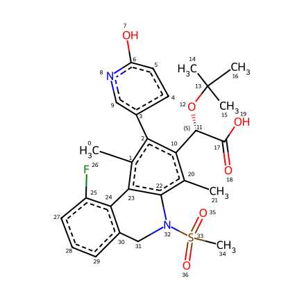 Cc1c(-c2ccc(O)nc2)c([C@H](OC(C)(C)C)C(=O)O)c(C)c2c1-c1c(F)cccc1CN2S(C)(=O)=O